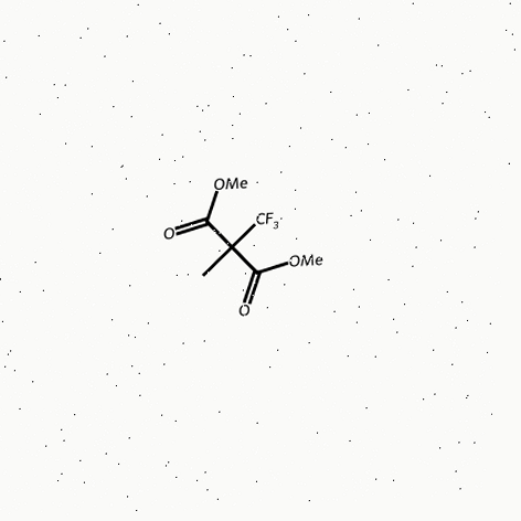 COC(=O)C(C)(C(=O)OC)C(F)(F)F